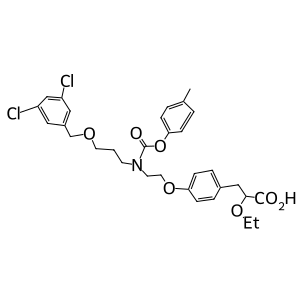 CCOC(Cc1ccc(OCCN(CCCOCc2cc(Cl)cc(Cl)c2)C(=O)Oc2ccc(C)cc2)cc1)C(=O)O